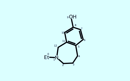 CCN1CCCc2ccc(O)cc2C1